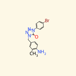 Cc1cc(Cn2nnn(-c3ccc(Br)cc3)c2=O)ccc1N